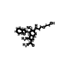 N#Cc1c(NCCOCCO)nc2sc(C(N)=O)c(N)c2c1-c1cc2ccccc2o1